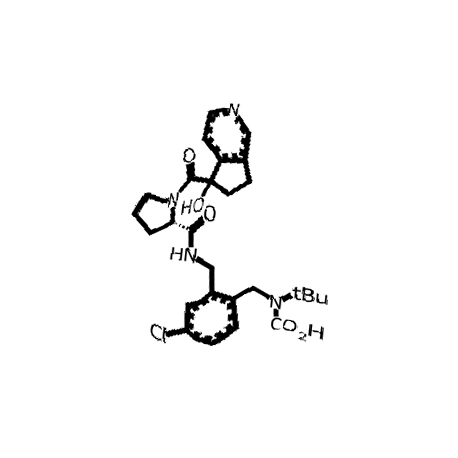 CC(C)(C)N(Cc1ccc(Cl)cc1CNC(=O)[C@@H]1CCCN1C(=O)C1(O)CCc2cnccc21)C(=O)O